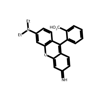 CCN(CC)c1ccc2c(-c3ccccc3C(=O)O)c3ccc(=N)cc-3oc2c1